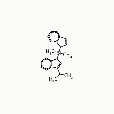 CC(C)C1=CC([Si](C)(C)C2C=Cc3ccccc32)c2ccccc21